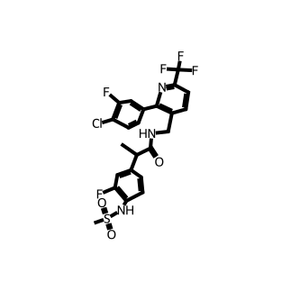 CC(C(=O)NCc1ccc(C(F)(F)F)nc1-c1ccc(Cl)c(F)c1)c1ccc(NS(C)(=O)=O)c(F)c1